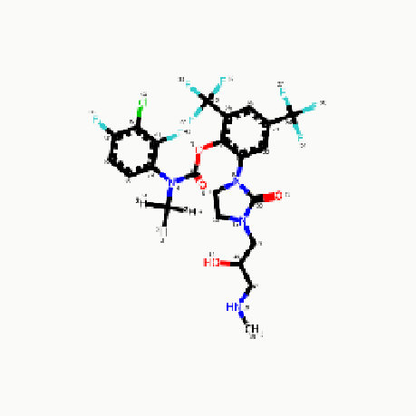 [2H]C([2H])([2H])N(C(=O)Oc1c(N2CCN(CC(O)CNC)C2=O)cc(C(F)(F)F)cc1C(F)(F)F)c1ccc(F)c(Cl)c1F